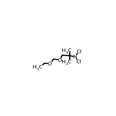 CCOCOCC(C)(C)N(Cl)Cl